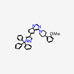 COc1ccccc1C1CCN(c2ncnc3ccc(-c4cnn(C(c5ccccc5)(c5ccccc5)c5ccccc5)c4)cc23)CC1